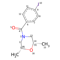 C[C@@H]1CN(C(=O)c2ccc(I)cc2)C[C@H](C)O1